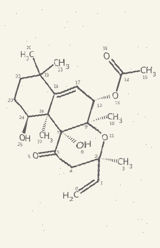 C=C[C@@]1(C)CC(=O)[C@]2(O)[C@](C)(O1)[C@@H](OC(C)=O)C=C1C(C)(C)CC[C@H](O)[C@@]12C